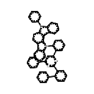 c1ccc(-c2cc(-c3ccccc3-n3c4ccccc4c4ccc5c(c6ccccc6n5-c5ccccc5)c43)nc(-c3ccccc3-c3ccccc3)n2)cc1